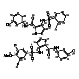 COc1c(F)cc(S(=O)(=O)Nc2ccsc2C(=O)Nc2cccc(Cl)c2)cc1F.Cc1ccccc1S(=O)(=O)Nc1ccsc1C(=O)Nc1cccc(Cl)c1